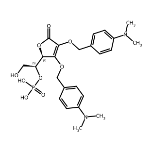 CN(C)c1ccc(COC2=C(OCc3ccc(N(C)C)cc3)[C@@H]([C@H](CO)OP(=O)(O)O)OC2=O)cc1